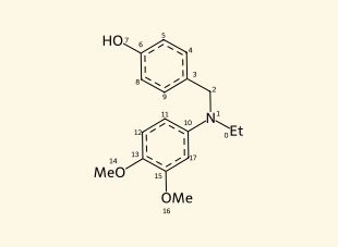 CCN(Cc1ccc(O)cc1)c1ccc(OC)c(OC)c1